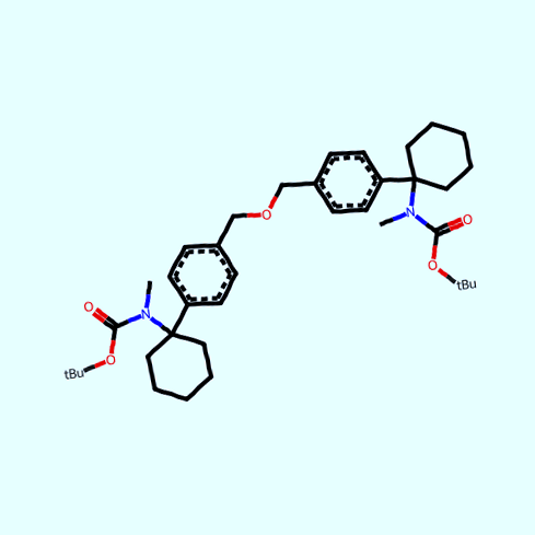 CN(C(=O)OC(C)(C)C)C1(c2ccc(COCc3ccc(C4(N(C)C(=O)OC(C)(C)C)CCCCC4)cc3)cc2)CCCCC1